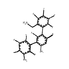 Cc1c(F)c(F)c(-c2c(P)cc(F)c(-c3c(F)c(F)c(F)c(F)c3CP)c2F)c(F)c1P